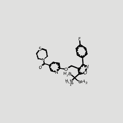 BC(B)(B)c1onc(-c2ccc(F)cc2)c1COc1ccc(C(=O)N2CCSCC2)cn1